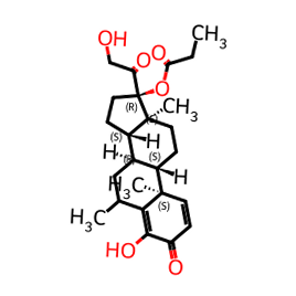 CCC(=O)O[C@]1(C(=O)CO)CC[C@H]2[C@@H]3CC(C)C4=C(O)C(=O)C=C[C@]4(C)[C@H]3CC[C@@]21C